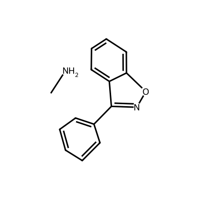 CN.c1ccc(-c2noc3ccccc23)cc1